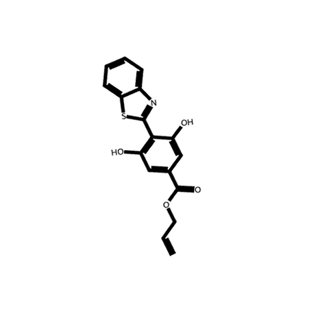 C=CCOC(=O)c1cc(O)c(-c2nc3ccccc3s2)c(O)c1